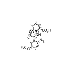 C=Nc1ccc(OC(F)(F)F)cc1/C(Nc1ccccc1C(=O)O)=C(\C)C(=O)OCC